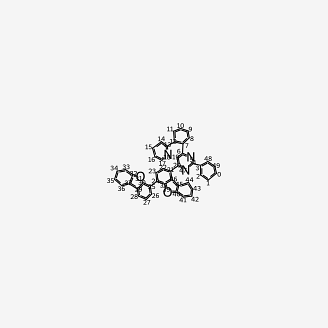 c1ccc(-c2nc(-c3ccccc3-c3ccccn3)cc(-c3ccc(-c4cccc5c4oc4ccccc45)c4oc5ccccc5c34)n2)cc1